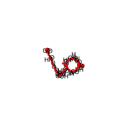 C/C=C(\C)[C@H]1OC(=O)[C@@H](C)NC(=O)[C@H](C(C)CC)NC(=O)CN(C)C(=O)[C@@H](Cc2ccccc2)N(C)C(=O)[C@H](C)NC(=O)[C@@H](CC(C)C)OC(=O)/C(C)=C/C[C@H](OC(=O)NCCOP(=O)(O)OP(=O)(O)OCCOCCOCCOCCNC(=O)CCCCCN2C(=O)C=CC2=O)[C@@H]1C